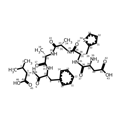 CC(C)[C@H](NC(=O)[C@H](Cc1ccccc1)NC(=O)[C@H](C)NC(=O)[C@H](C)NC(=O)[C@H](Cc1cccs1)NC(=O)[C@@H](N)CC(=O)O)C(=O)O